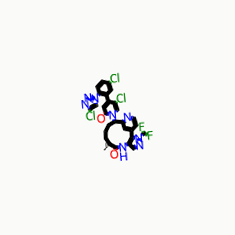 C[C@@H]1CCCC(n2cc(Cl)c(-c3cc(Cl)ccc3-n3cc(Cl)nn3)cc2=O)c2cc(ccn2)-c2c(cnn2C(F)F)NC1=O